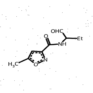 CCC(C=O)NC(=O)c1cc(C)on1